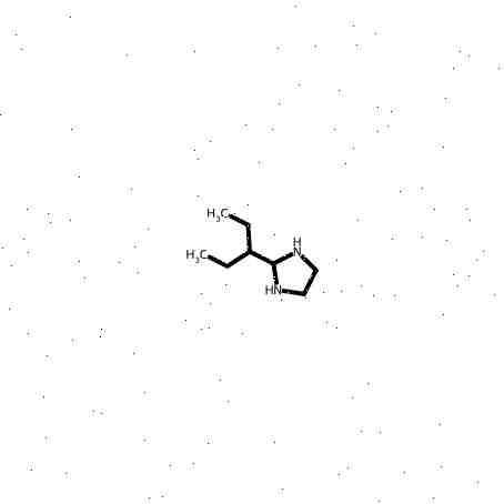 CCC(CC)C1NCCN1